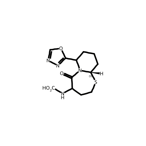 O=C(O)NC1CCS[C@H]2CCCC(c3nnco3)N2C1=O